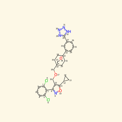 Clc1cccc(Cl)c1-c1noc(C2CC2)c1COCC12CCC(c3cccc(-c4nnn[nH]4)c3)(CC1)OC2